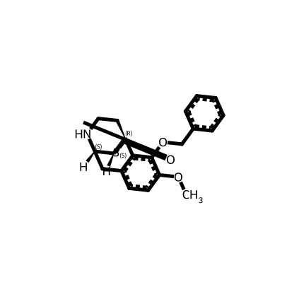 COc1ccc2c(c1OCc1ccccc1)[C@@]13CCN[C@@H](C2)[C@H]1CSC(=O)C3